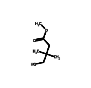 COC(=O)CC(C)(C)CO